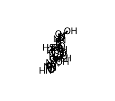 O=c1c2ncn([C@@H]3O[C@@H]4COP(=O)(S)O[C@H]5[C@@H](O)[C@H](n6c[n+]7c8c(ncnc86)NCCC7)O[C@@H]5COP(=O)(S)O[C@@H]3[C@@H]4O)c2ncn1CCO